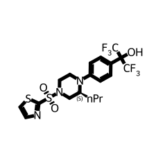 CCC[C@H]1CN(S(=O)(=O)c2nccs2)CCN1c1ccc(C(O)(C(F)(F)F)C(F)(F)F)cc1